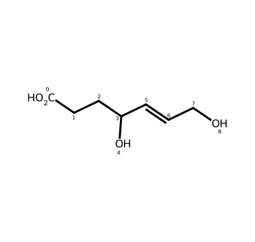 O=C(O)CCC(O)/C=C/CO